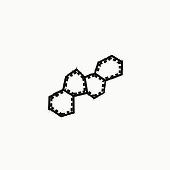 [c]1cc2ccccc2c2[c]cc3ccccc3c12